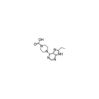 CCc1nc2c(N3CCN(C(=O)O)CC3)ncnc2[nH]1